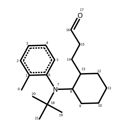 Cc1ccccc1N(C1CCCCC1CCC=O)C(C)(C)C